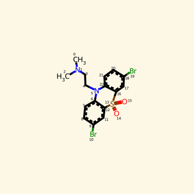 CN(C)CCN1c2ccc(Br)cc2S(=O)(=O)c2cc(Br)ccc21